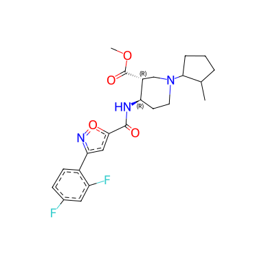 COC(=O)[C@@H]1CN(C2CCCC2C)CC[C@H]1NC(=O)c1cc(-c2ccc(F)cc2F)no1